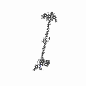 Cc1c(/C(=C/C=N)Nc2ccc(C#N)cc2)cc(C(=O)NCCOCCOCCOCCOCCNC(=O)C(=O)NCCOCCOCCOCCOCCNC(=O)c2cc(-c3ccnn3-c3ccc(C#N)cc3)c(C)n(-c3cccc(C(F)(F)F)c3)c2=O)c(=O)n1-c1cccc(C(F)(F)F)c1